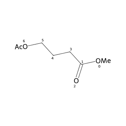 COC(=O)CCCOC(C)=O